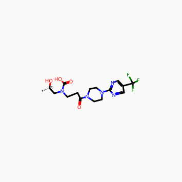 C[C@H](O)CN(CCC(=O)N1CCN(c2ncc(C(F)(F)F)cn2)CC1)C(=O)O